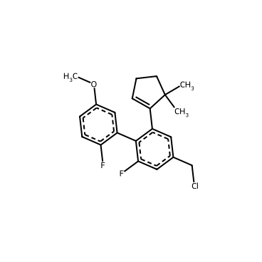 COc1ccc(F)c(-c2c(F)cc(CCl)cc2C2=CCCC2(C)C)c1